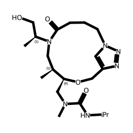 CC(C)NC(=O)N(C)C[C@@H]1OCc2cn(nn2)CCCC(=O)N([C@@H](C)CO)C[C@@H]1C